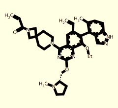 C=CC(=O)N1CC2(CCN(c3nc(OC[C@@H]4CCCN4C)nc4c(OCC)c(-c5c(C)ccc6[nH]ncc56)c(C=C)cc34)CC2)C1